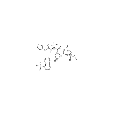 C=C[C@@H]1C[C@]1(NC(=O)[C@@H]1C[C@@H](Oc2nccc3c(C(F)(F)F)cccc23)CN1C(=O)[C@@H](NC(=O)OC1CCCC1)C(C)(C)C)C(=O)OC